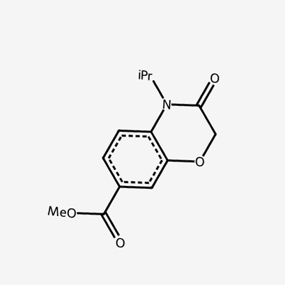 COC(=O)c1ccc2c(c1)OCC(=O)N2C(C)C